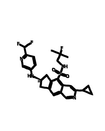 CC(C)(F)CNS(=O)(=O)c1c2c(cc3cnc(C4CC4)cc13)C[C@@H](Nc1ccc(C(F)F)nc1)C2